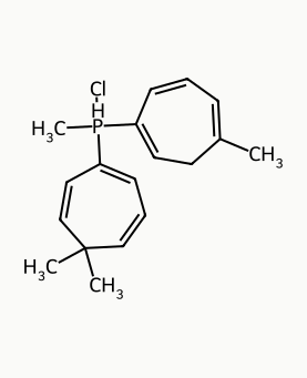 CC1=CC=CC([PH](C)(Cl)C2=CC=CC(C)(C)C=C2)=CC1